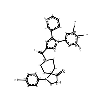 O=C(c1cc(-c2cccnc2)n(-c2cc(F)c(F)c(F)c2)n1)N1CCC2(CC1)C(=O)NCN2c1ccc(I)cc1